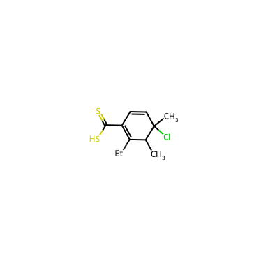 CCC1=C(C(=S)S)C=CC(C)(Cl)C1C